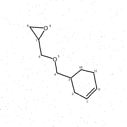 C1=CCC(COCC2CO2)CC1